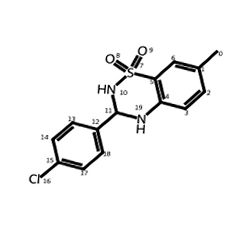 Cc1ccc2c(c1)S(=O)(=O)NC(c1ccc(Cl)cc1)N2